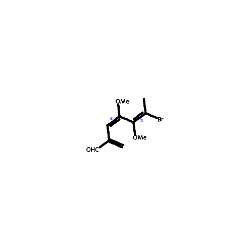 C=C(C=O)/C=C(OC)\C(OC)=C(/C)Br